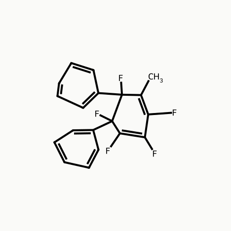 CC1=C(F)C(F)=C(F)C(F)(c2ccccc2)C1(F)c1ccccc1